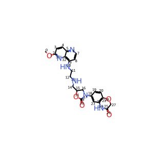 COc1ccc2nccc(NCCNCC3CN(c4ccc5c(c4)NC(=O)CO5)C(=O)O3)c2n1